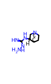 N=C(NN)N[C@@H]1CN2CCC1CC2